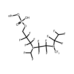 CCCOP(=O)(O)OCC(F)(F)C(F)(F)N(C(F)F)C(F)(F)C(F)(F)N(C(F)(F)F)C(F)(F)C(F)F